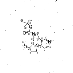 CO[C@@H]1CCN(c2ccncc2C2CN(C(=O)OC(C)(C)C)C2)C1